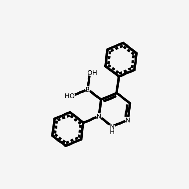 OB(O)C1=C(c2ccccc2)C=NNN1c1ccccc1